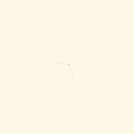 FC(F)F.[Sm]